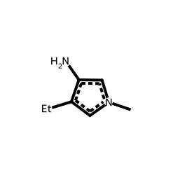 CCc1cn(C)cc1N